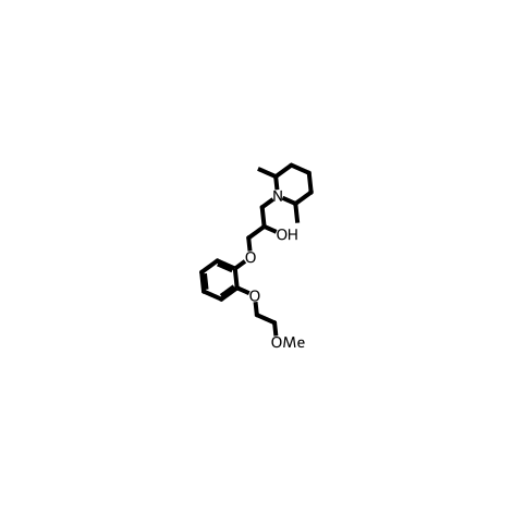 COCCOc1ccccc1OCC(O)CN1C(C)CCCC1C